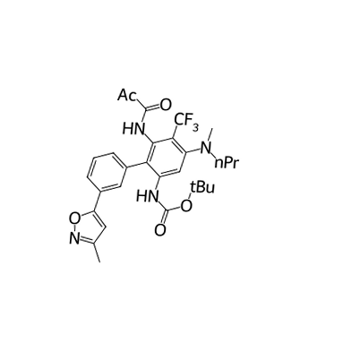 CCCN(C)c1cc(NC(=O)OC(C)(C)C)c(-c2cccc(-c3cc(C)no3)c2)c(NC(=O)C(C)=O)c1C(F)(F)F